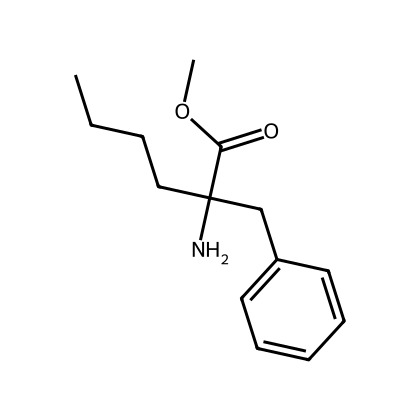 CCCCC(N)(Cc1ccccc1)C(=O)OC